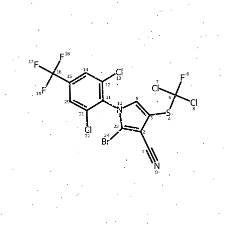 N#Cc1c(SC(F)(Cl)Cl)cn(-c2c(Cl)cc(C(F)(F)F)cc2Cl)c1Br